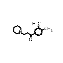 Cc1ccc(C(=O)CCN2CCCCC2)cc1C